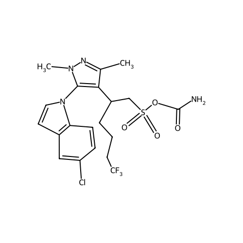 Cc1nn(C)c(-n2ccc3cc(Cl)ccc32)c1C(CCCC(F)(F)F)CS(=O)(=O)OC(N)=O